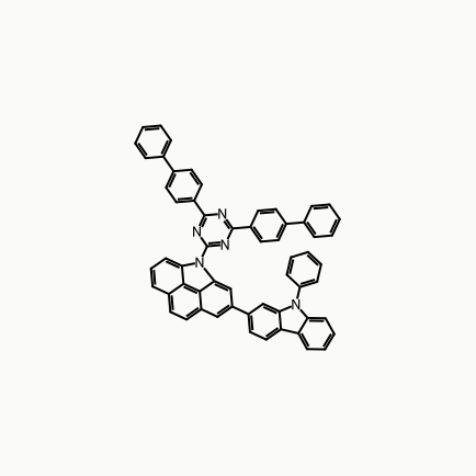 c1ccc(-c2ccc(-c3nc(-c4ccc(-c5ccccc5)cc4)nc(-n4c5cccc6ccc7cc(-c8ccc9c%10ccccc%10n(-c%10ccccc%10)c9c8)cc4c7c65)n3)cc2)cc1